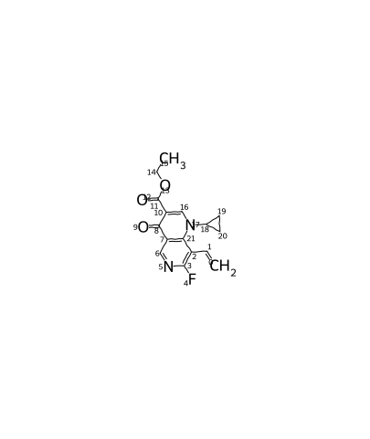 C=Cc1c(F)ncc2c(=O)c(C(=O)OCC)cn(C3CC3)c12